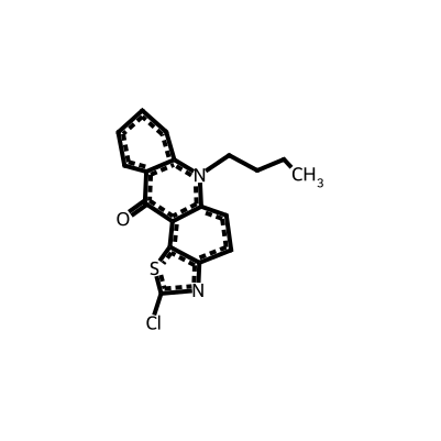 CCCCn1c2ccccc2c(=O)c2c3sc(Cl)nc3ccc21